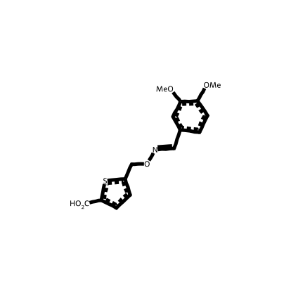 COc1ccc(/C=N/OCc2ccc(C(=O)O)s2)cc1OC